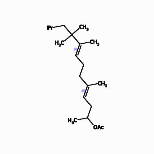 CC(=O)OC(C)C/C=C(\C)CC/C=C(\C)C(C)(C)CC(C)C